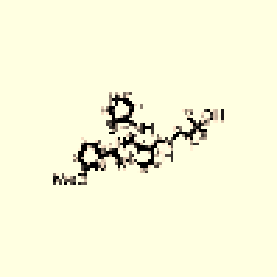 COc1cccc(-c2nc(Nc3ccncc3F)c3c(CNC[C@@H](F)C(C)(C)O)ccn3n2)n1